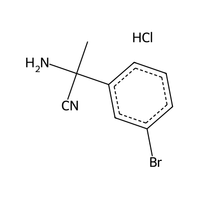 CC(N)(C#N)c1cccc(Br)c1.Cl